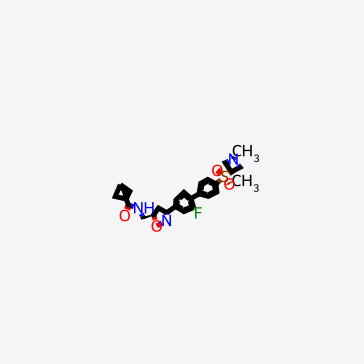 CN1CC(C)(S(=O)(=O)c2ccc(-c3ccc(C4=NO[C@@H](CNC(=O)C56CC(C5)C6)C4)cc3F)cc2)C1